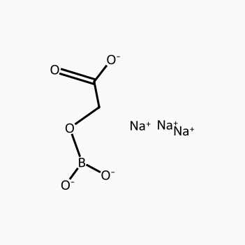 O=C([O-])COB([O-])[O-].[Na+].[Na+].[Na+]